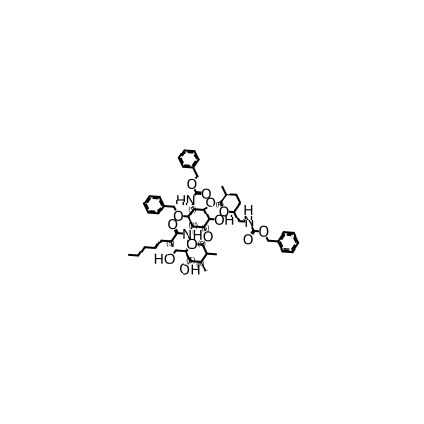 CCCCC[C@H](C)C(=O)N[C@@H]1C(OCc2ccccc2)[C@H](NC(=O)OCc2ccccc2)C(O[C@H]2OC(CNC(=O)OCc3ccccc3)CCC2C)C(O)[C@H]1O[C@H]1OC(CO)[C@@H](O)[C@H](C)C1C